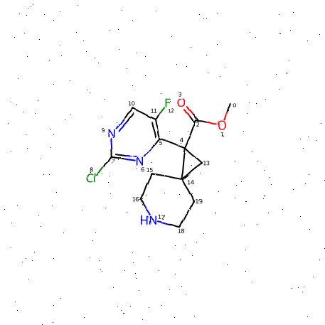 COC(=O)C1(c2nc(Cl)ncc2F)CC12CCNCC2